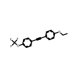 CCOc1ccc(C#Cc2ccc(OC(F)(F)F)cc2)cc1